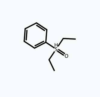 CC[SH](=O)(CC)c1ccccc1